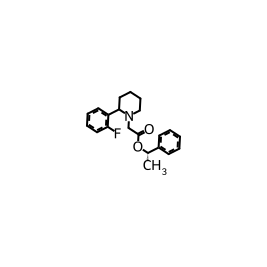 C[C@H](OC(=O)CN1CCCCC1c1ccccc1F)c1ccccc1